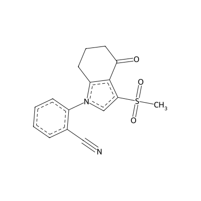 CS(=O)(=O)c1cn(-c2ccccc2C#N)c2c1C(=O)CCC2